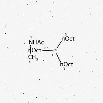 CCCCCCCCP(CCCCCCCC)CCCCCCCC.CNC(C)=O